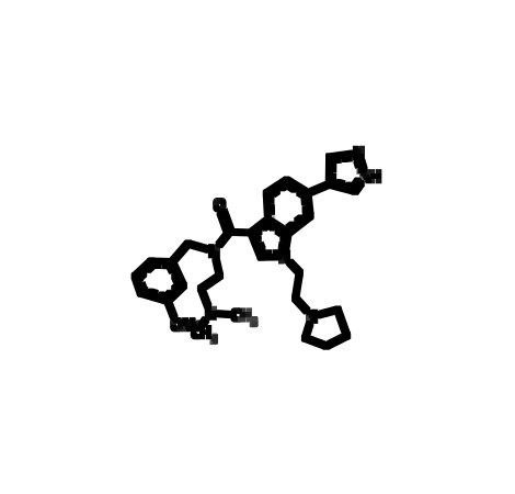 COc1cccc(CN(CCN(C)C)C(=O)c2cn(CCN3CCCC3)c3cc(-c4cn[nH]c4)ccc23)c1